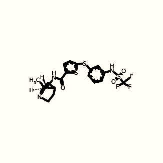 C[C@H]1[C@H](NC(=O)c2ccc(Sc3cccc(NS(=O)(=O)C(F)(F)F)c3)s2)C2CCN1CC2